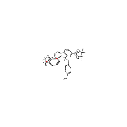 C=Cc1ccc(CC2(Cc3ccc(C=C)cc3)c3cc(B4OC(C)(C)C(C)(C)O4)ccc3-c3ccc(B4OC(C)(C)C(C)(C)O4)cc32)cc1